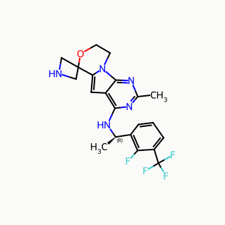 Cc1nc(N[C@H](C)c2cccc(C(F)(F)F)c2F)c2cc3n(c2n1)CCOC31CNC1